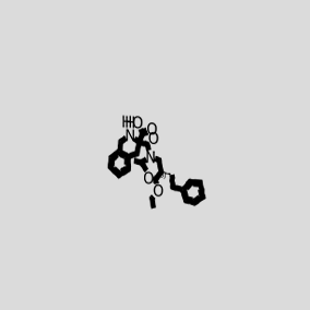 CCOC(=O)[C@@H](CCc1ccccc1)CN(C(=O)C1(C(=O)O)Cc2ccccc2CN1)C(C)C